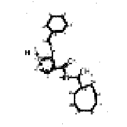 CC(NC(=O)c1cnn(C)c1OCC1CCCCC1)C1CCCCCCC1